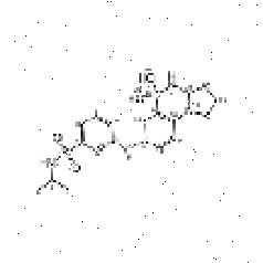 CC(C)NS(=O)(=O)c1cccc(Oc2ccc3c(c2)S(O)(O)NC2CCCN32)c1